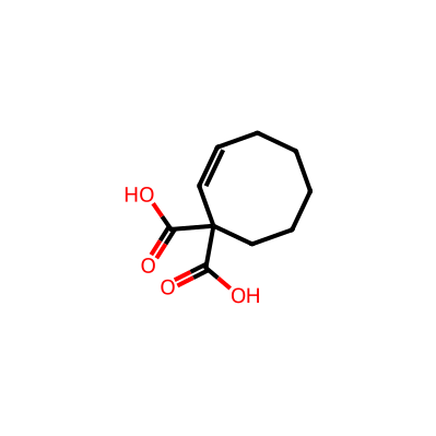 O=C(O)C1(C(=O)O)/C=C\CCCCC1